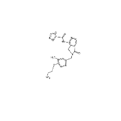 Cc1cc(CN2Cc3c(ccnc3NC(=O)c3cnco3)C2=O)ncc1OCCC(F)(F)F